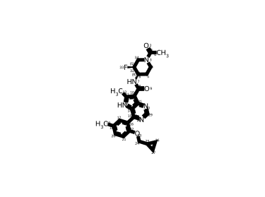 CC(=O)N1CC[C@@H](NC(=O)c2c(C)[nH]c3c(-c4cc(C)ccc4OCC4CC4)ncnc23)[C@@H](F)C1